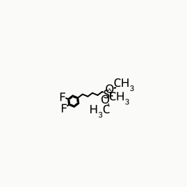 CCO[Si](C)(CCCCCc1ccc(F)c(F)c1)OCC